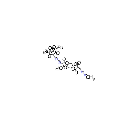 C/C=C/C=C/C=C1C(=O)OC2(CCC3(CC2)OC(=O)C(/C=C/C=C/C=C2C(=O)N(C(C)CC)S(=O)(=O)N(C(C)CC)C2=O)=C(O)O3)OC1=O